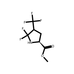 COC(=O)[C@@H]1CC(C(F)(F)F)C(F)(F)N1